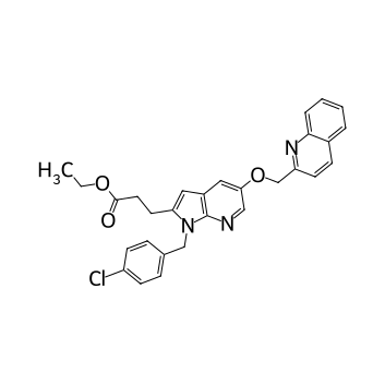 CCOC(=O)CCc1cc2cc(OCc3ccc4ccccc4n3)cnc2n1Cc1ccc(Cl)cc1